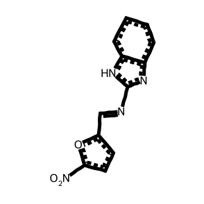 O=[N+]([O-])c1ccc(/C=N/c2nc3ccccc3[nH]2)o1